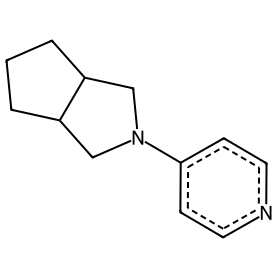 c1cc(N2CC3CCCC3C2)ccn1